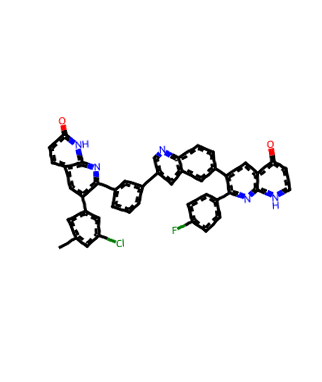 Cc1cc(Cl)cc(-c2cc3ccc(=O)[nH]c3nc2-c2cccc(-c3cnc4ccc(-c5cc6c(=O)cc[nH]c6nc5-c5ccc(F)cc5)cc4c3)c2)c1